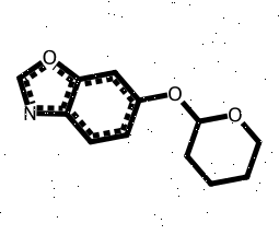 c1nc2ccc(OC3CCCCO3)cc2o1